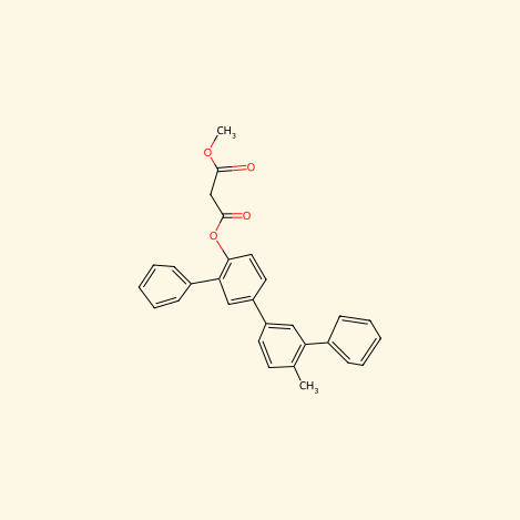 COC(=O)CC(=O)Oc1ccc(-c2ccc(C)c(-c3ccccc3)c2)cc1-c1ccccc1